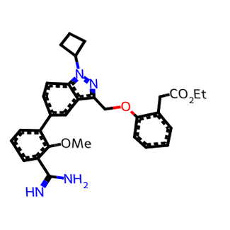 CCOC(=O)Cc1ccccc1OCc1nn(C2CCC2)c2ccc(-c3cccc(C(=N)N)c3OC)cc12